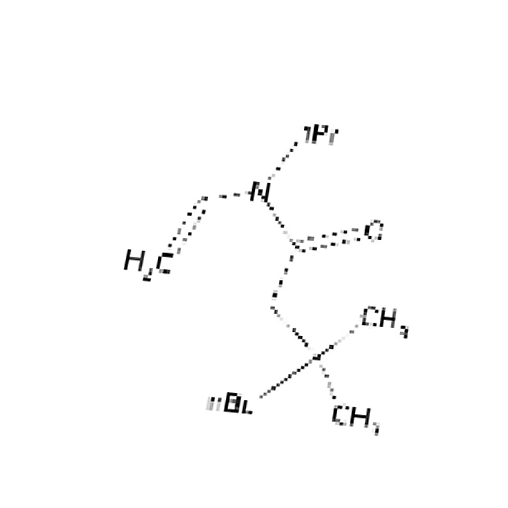 C=CN(CCC)C(=O)CC(C)(C)CCCC